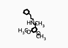 COc1cc(OC)cc(C(C)NCCCc2ccccc2)c1